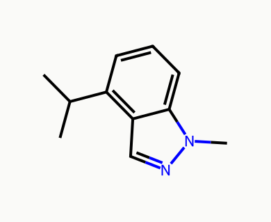 CC(C)c1cccc2c1cnn2C